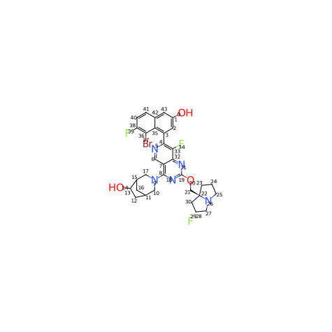 Oc1cc(-c2ncc3c(N4CC5CC(O)C(C5)C4)nc(OC[C@@]45CCCN4C[C@H](F)C5)nc3c2F)c2c(Br)c(F)ccc2c1